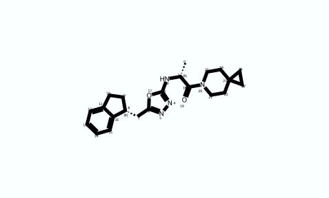 C[C@@H](Nc1nnc(C[C@H]2CCc3ccccc32)o1)C(=O)N1CCC2(CC1)CC2